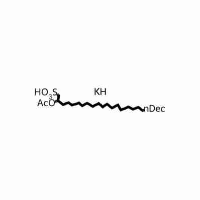 CCCCCCCCCCCCCCCCCCCCCCCCCCCC(CS(=O)(=O)O)OC(C)=O.[KH]